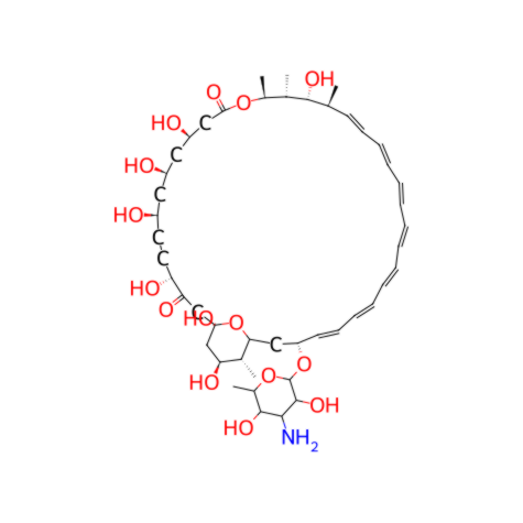 CC1OC(O[C@H]2/C=C/C=C/C=C/C=C/C=C/C=C/C=C/[C@H](C)[C@@H](O)[C@@H](C)[C@H](C)OC(=O)C[C@H](O)C[C@H](O)C[C@H](O)CC[C@@H](O)C(=O)C[C@]3(O)C[C@H](O)[C@@H](C)C(C2)O3)C(O)C(N)C1O